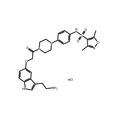 Cc1noc(C)c1S(=O)(=O)Nc1ccc(N2CCN(C(=O)COc3ccc4[nH]cc(CCN)c4c3)CC2)cc1.Cl